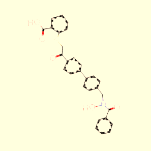 O=C(CSc1ccccc1C(=O)O)c1ccc(-c2ccc(CN(O)C(=O)c3ccccc3)cc2)cc1